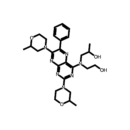 CC(O)CN(CCO)c1nc(N2CCOC(C)C2)nc2nc(N3CCOC(C)C3)c(-c3ccccc3)nc12